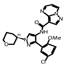 COc1ccc(Cl)cc1-c1nn([C@@H]2CCCOC2)cc1NC(=O)c1cnn2cccnc12